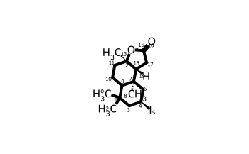 CC1(C)C[C@H](I)C[C@@]2(C)C1CC[C@@]1(C)OC(=O)C[C@@H]12